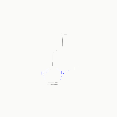 CCCc1nccn1I